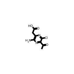 CC(=O)c1nc(N)c(CC(=O)O)nc1Cl